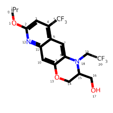 CC(C)Oc1cc(C(F)(F)F)c2cc3c(cc2n1)OCC(CO)N3CC(F)(F)F